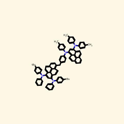 Cc1ccc(N(c2ccc(C)cc2)c2cc(N(c3ccc(C)cc3)c3ccc(Cc4ccc5ccc6c(N(c7ccccc7)c7ccc(C(C)(C)C)cc7)cc(N(c7ccccc7)c7ccc(C(C)(C)C)cc7)c7ccc4c5c67)cc3)c3ccc4cccc5ccc2c3c54)cc1